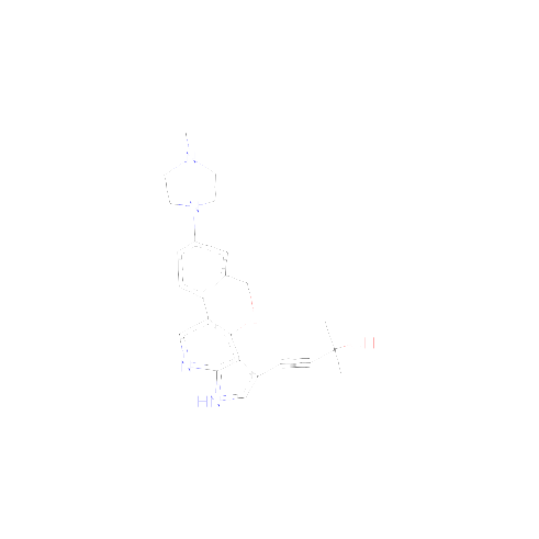 CN1CCN(c2ccc3c(c2)COc2c-3cnc3[nH]cc(C#CC(C)(C)O)c23)CC1